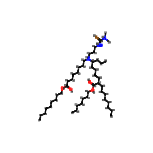 CCCCCCCCCOC(=O)CCCCCCCN(CCCNC(=S)N(C)C)C(CCC)CCCCC(CCCCCCCC)C(=O)OCCCCCCC